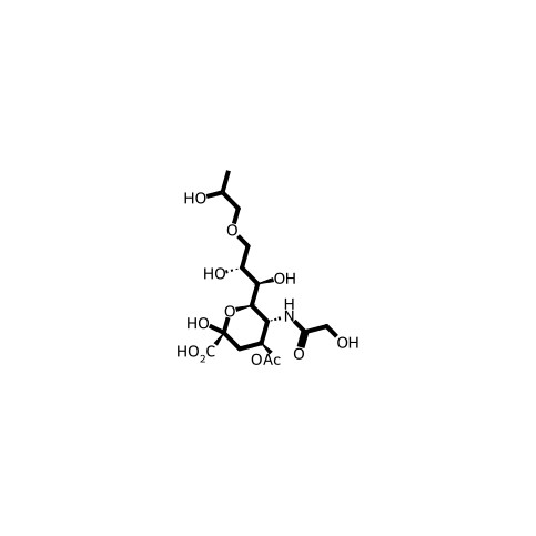 CC(=O)O[C@H]1C[C@@](O)(C(=O)O)O[C@@H]([C@H](O)[C@H](O)COCC(C)O)[C@@H]1NC(=O)CO